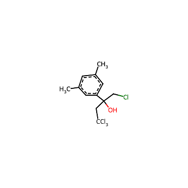 Cc1cc(C)cc(C(O)(CCl)CC(Cl)(Cl)Cl)c1